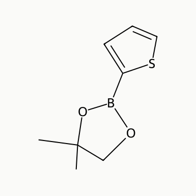 CC1(C)COB(c2cccs2)O1